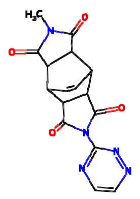 CN1C(=O)C2C3C=CC(C2C1=O)C1C(=O)N(c2nccnn2)C(=O)C31